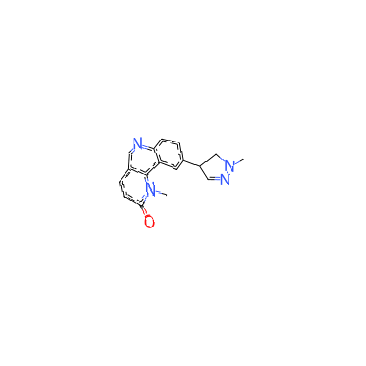 CN1CC(c2ccc3ncc4ccc(=O)n(C)c4c3c2)C=N1